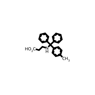 Cc1ccc(C(NCCC(=O)O)(c2ccccc2)c2ccccc2)cc1